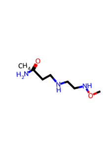 C.CONCCNCCC(N)=O